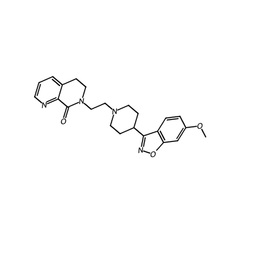 COc1ccc2c(C3CCN(CCN4CCc5cccnc5C4=O)CC3)noc2c1